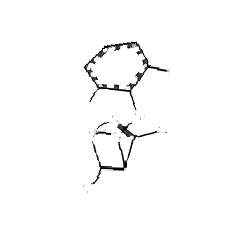 NC1=NN2C(N)C1N2Nc1c(F)cccc1F